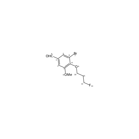 COc1cc(C=O)cc(Br)c1OCCCF